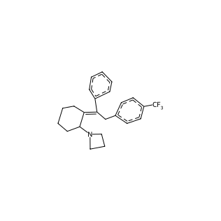 FC(F)(F)c1ccc(CC(=C2CCCCC2N2CCC2)c2ccccc2)cc1